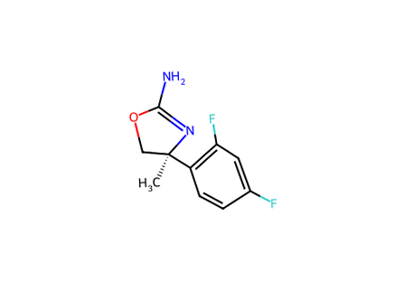 C[C@]1(c2ccc(F)cc2F)COC(N)=N1